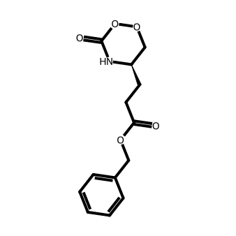 O=C(CC[C@@H]1COOC(=O)N1)OCc1ccccc1